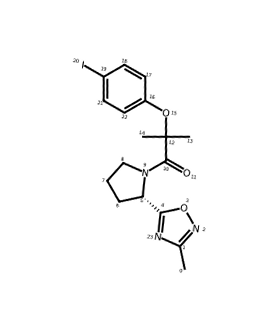 Cc1noc([C@@H]2CCCN2C(=O)C(C)(C)Oc2ccc(I)cc2)n1